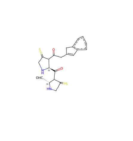 O=C[C@H]1NCC(=S)C1C(=O)[C@H]1NCC(=S)C1C(=O)CC1=Cc2ccccc2C1